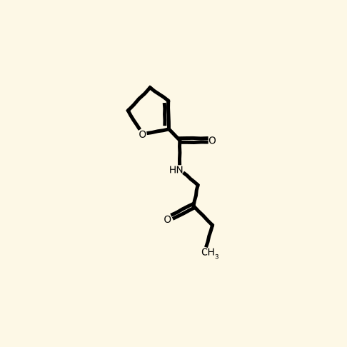 CCC(=O)CNC(=O)C1=CCCO1